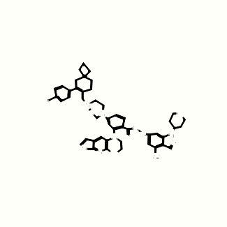 O=C(NS(=O)(=O)c1cc([N+](=O)[O-])c2cnn(C3CCOCC3)c2c1)c1ccc(N2CCN(CC3=C(c4ccc(Cl)cc4)CC4(CCC4)CC3)CC2)cc1N1CCOc2nc3[nH]ccc3cc21